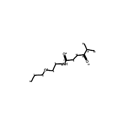 CCCOCCNC(=O)CCC(=O)C(C)C